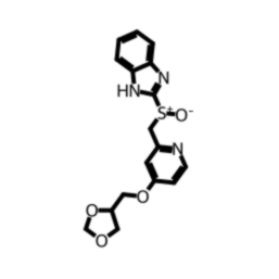 [O-][S+](Cc1cc(OCC2COCO2)ccn1)c1nc2ccccc2[nH]1